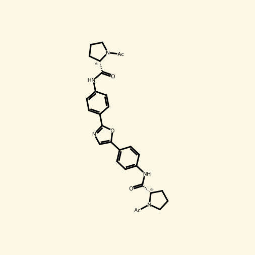 CC(=O)N1CCC[C@H]1C(=O)Nc1ccc(-c2cnc(-c3ccc(NC(=O)[C@@H]4CCCN4C(C)=O)cc3)o2)cc1